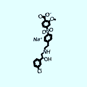 COc1cc(S(=O)(=O)c2ccc(CCNC[C@H](O)c3cccc(Cl)c3)cc2)ccc1C(=O)[O-].[Na+]